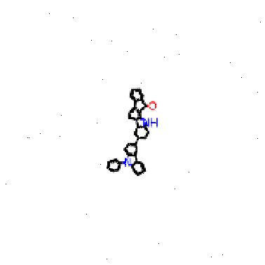 O=C1c2ccccc2-c2ccc3c([nH]c4ccc(-c5ccc6c(c5)C5C=CC=CC5N6c5ccccc5)cc43)c21